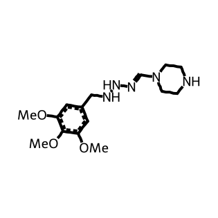 COc1cc(CNNN=CN2CCNCC2)cc(OC)c1OC